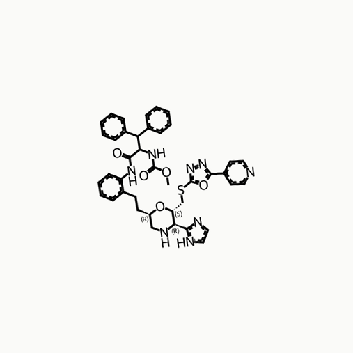 COC(=O)NC(C(=O)Nc1ccccc1CC[C@@H]1CN[C@H](c2ncc[nH]2)[C@@H](CSc2nnc(-c3ccncc3)o2)O1)C(c1ccccc1)c1ccccc1